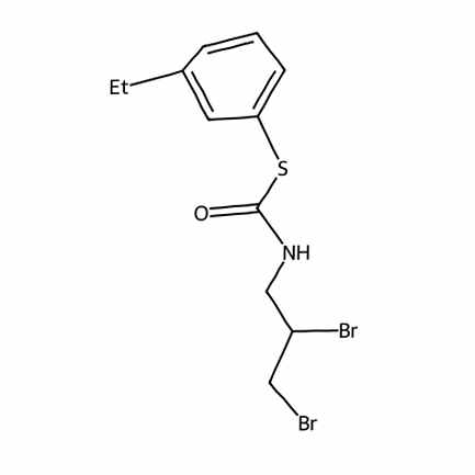 CCc1cccc(SC(=O)NCC(Br)CBr)c1